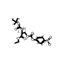 CCOC(=O)[C@](C)(COC(=O)Oc1ccc([N+](=O)[O-])cc1)NC(=O)OC(C)(C)C